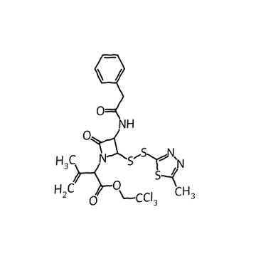 C=C(C)C(C(=O)OCC(Cl)(Cl)Cl)N1C(=O)C(NC(=O)Cc2ccccc2)C1SSc1nnc(C)s1